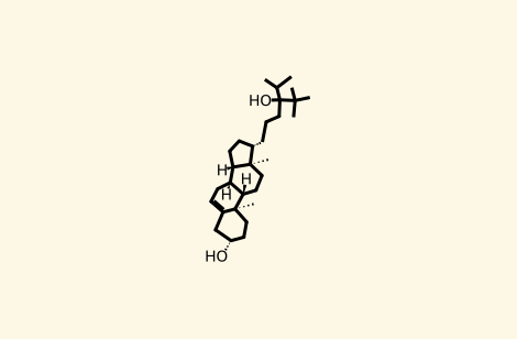 CC(C)C(O)(CCC[C@H]1CC[C@H]2[C@@H]3CC=C4C[C@@H](O)CC[C@]4(C)[C@H]3CC[C@]12C)C(C)(C)C